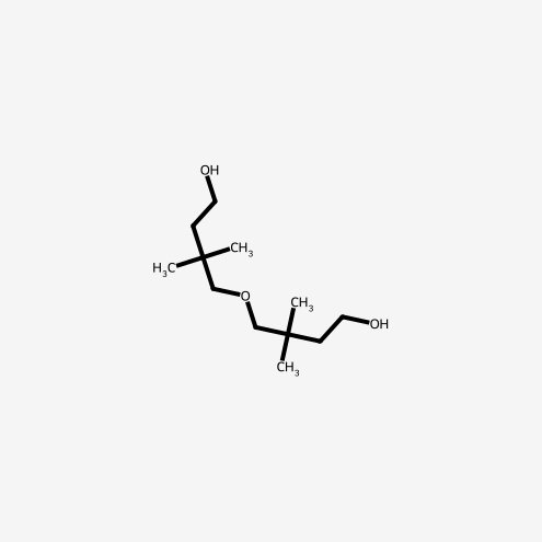 CC(C)(CCO)COCC(C)(C)CCO